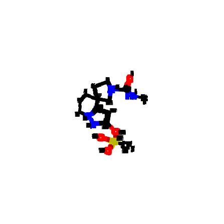 CCNC(=O)N1CCC2(CCCn3nc(OS(=O)(=O)C(F)(F)F)cc32)C1